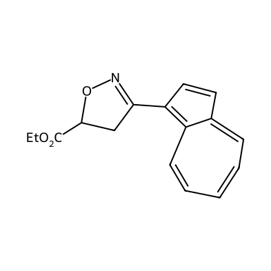 CCOC(=O)C1CC(c2ccc3cccccc2-3)=NO1